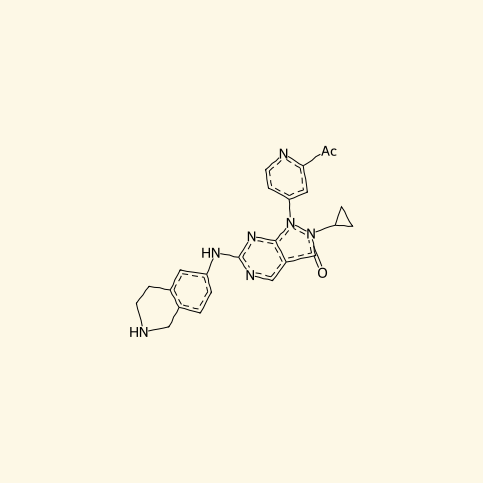 CC(=O)c1cc(-n2c3nc(Nc4ccc5c(c4)CCNC5)ncc3c(=O)n2C2CC2)ccn1